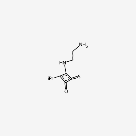 CC(C)c1c(NCCN)c(=S)c1=O